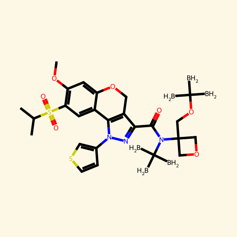 BC(B)(B)OCC1(N(C(=O)c2nn(-c3ccsc3)c3c2COc2cc(OC)c(S(=O)(=O)C(C)C)cc2-3)C(B)(B)B)COC1